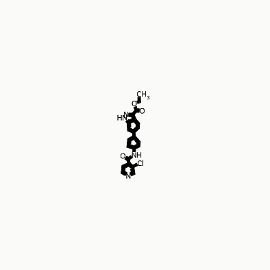 CCOC(=O)c1n[nH]c2cc(-c3ccc(NC(=O)c4ccncc4Cl)cc3)ccc12